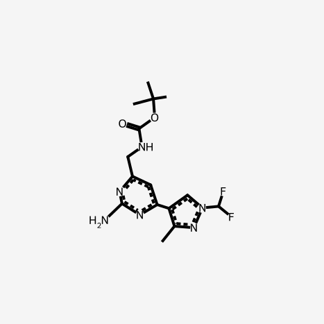 Cc1nn(C(F)F)cc1-c1cc(CNC(=O)OC(C)(C)C)nc(N)n1